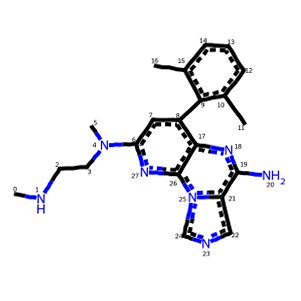 CNCCN(C)c1cc(-c2c(C)cccc2C)c2nc(N)c3cncn3c2n1